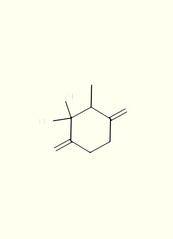 [CH2]C1C(=O)CCC(=O)C1(O)O